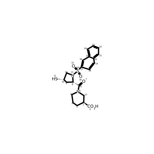 O=C(O)[C@H]1CCCN(C(=O)[C@@H]2C[C@H](S)CN2S(=O)(=O)c2ccc3ccccc3c2)C1